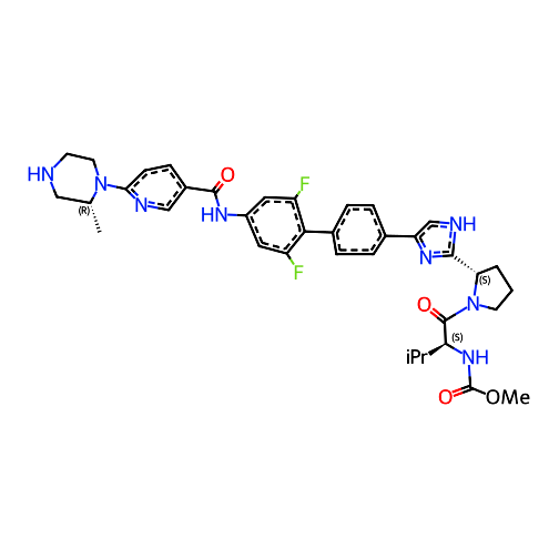 COC(=O)N[C@H](C(=O)N1CCC[C@H]1c1nc(-c2ccc(-c3c(F)cc(NC(=O)c4ccc(N5CCNC[C@H]5C)nc4)cc3F)cc2)c[nH]1)C(C)C